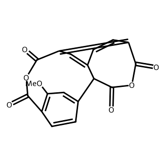 COc1cc2ccc1C(=O)OC(=O)c1cc3ccc1C(=O)OC(=O)C23